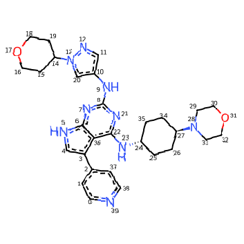 c1cc(-c2c[nH]c3nc(Nc4cnn(C5CCOCC5)c4)nc(N[C@H]4CC[C@H](N5CCOCC5)CC4)c23)ccn1